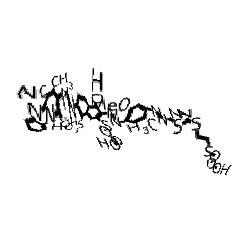 COc1cc(N=Nc2nnc(SCCSOOO)s2)c(C)cc1N=Nc1c(SOOO)cc2c(S(=O)(=O)O)c(N=Nc3c(C)c(C#N)c4nc5ccccc5n4c3O)ccc2c1O